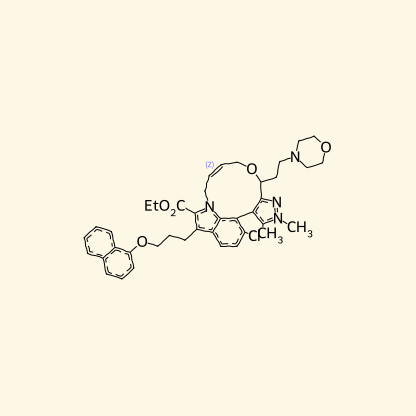 CCOC(=O)c1c(CCCOc2cccc3ccccc23)c2ccc(Cl)c3c2n1C/C=C\COC(CCN1CCOCC1)c1nn(C)c(C)c1-3